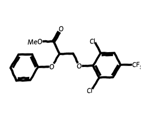 COC(=O)C(COc1c(Cl)cc(C(F)(F)F)cc1Cl)Oc1ccccc1